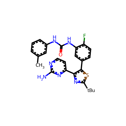 Cc1cccc(NC(=O)Nc2cc(-c3sc(C(C)(C)C)nc3-c3ccnc(N)n3)ccc2F)c1